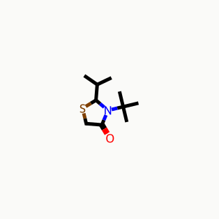 CC(C)C1SCC(=O)N1C(C)(C)C